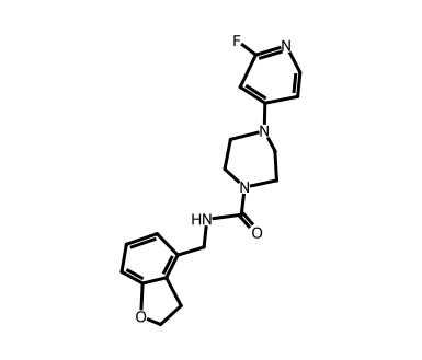 O=C(NCc1cccc2c1CCO2)N1CCN(c2ccnc(F)c2)CC1